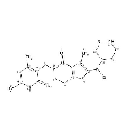 CCN(c1sc2c(c1C)C(=O)N(Cc1c(C)cc(C)[nH]c1=O)CC2)C1CCNCC1